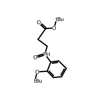 CC(C)(C)OC(=O)CC[PH](=O)c1ccccc1OC(C)(C)C